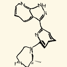 C[C@@H]1CNCCN1c1cccc(-c2n[nH]c3ncccc23)n1